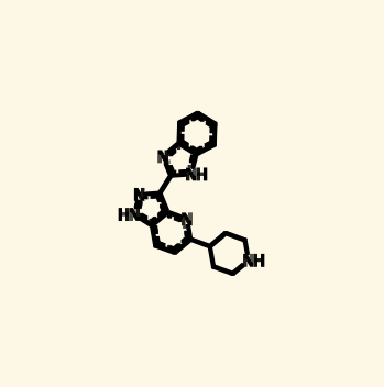 c1ccc2[nH]c(-c3n[nH]c4ccc(C5CCNCC5)nc34)nc2c1